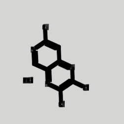 Cl.Clc1cc2nc(Cl)c(Cl)nc2cn1